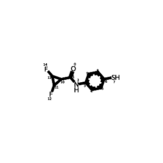 O=C(Nc1ccc(S)cc1)C1C(F)C1F